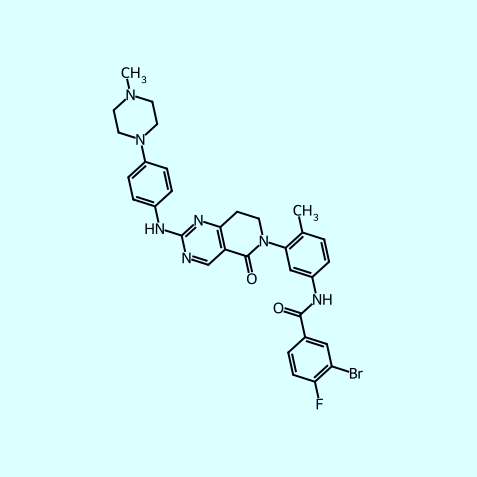 Cc1ccc(NC(=O)c2ccc(F)c(Br)c2)cc1N1CCc2nc(Nc3ccc(N4CCN(C)CC4)cc3)ncc2C1=O